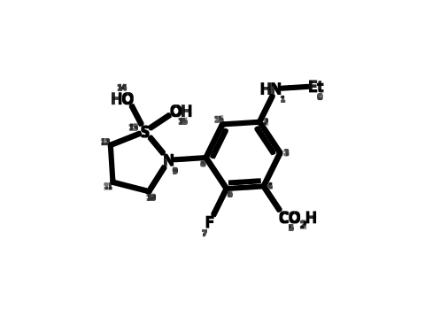 CCNc1cc(C(=O)O)c(F)c(N2CCCS2(O)O)c1